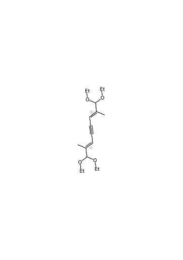 CCOC(OCC)/C(C)=C/C#C/C=C(\C)C(OCC)OCC